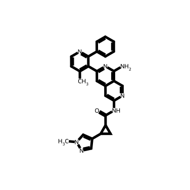 Cc1ccnc(-c2ccccc2)c1-c1cc2cc(NC(=O)C3CC3c3cnn(C)c3)ncc2c(N)n1